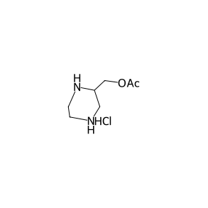 CC(=O)OCC1CNCCN1.Cl